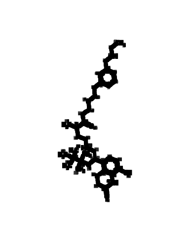 CCNCc1cccc(CCOCCC(=O)N(C)CCNC[C@H](O[Si](C)(C)C(C)(C)C)c2ccc(O)c3c2OCC(=O)N3)c1